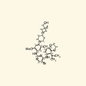 COc1cc(N2CCC(N3CC(F)(CO)C3)CC2)c(C)cc1Nc1ncc(Br)c(Nc2ccc3c(c2P(C)C)OCCO3)n1